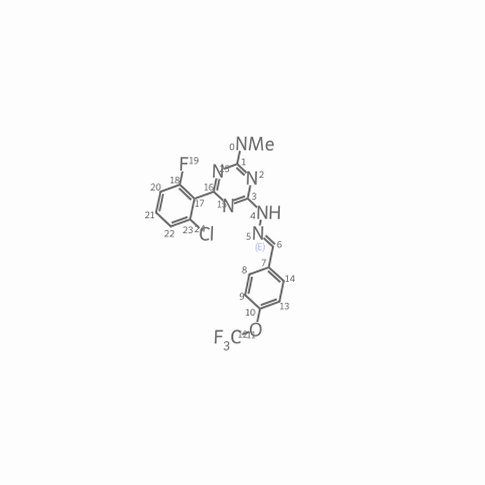 CNc1nc(N/N=C/c2ccc(OC(F)(F)F)cc2)nc(-c2c(F)cccc2Cl)n1